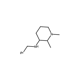 CC(C)CNC1CCCN(C)C1C